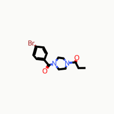 CCC(=O)N1CCN(C(=O)c2ccc(Br)cc2)CC1